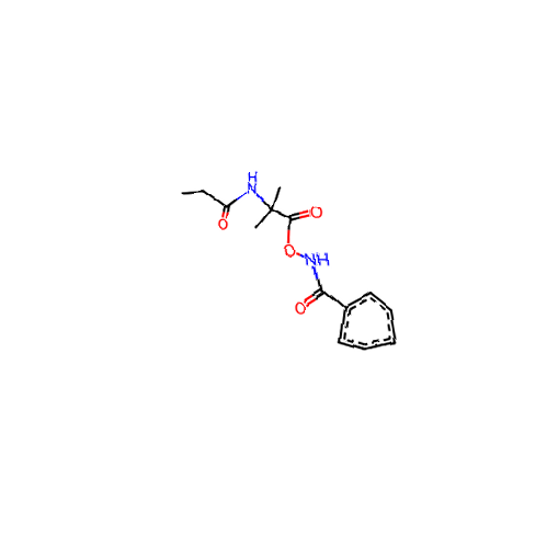 CCC(=O)NC(C)(C)C(=O)ONC(=O)c1ccccc1